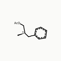 CC(=O)OC[C@H](C)Cc1ccccc1